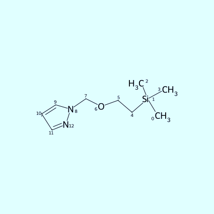 C[Si](C)(C)CCOCn1c[c]cn1